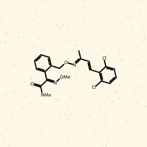 CNC(=O)/C(=N/OC)c1ccccc1CO/N=C(\C)C=Cc1c(Cl)cccc1Cl